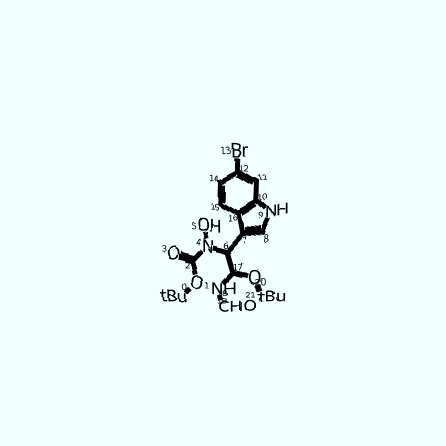 CC(C)(C)OC(=O)N(O)C(c1c[nH]c2cc(Br)ccc12)C(NC=O)OC(C)(C)C